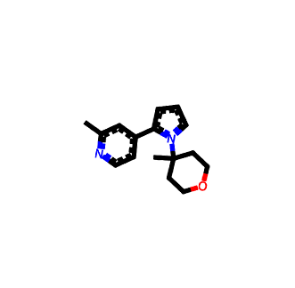 Cc1cc(-c2cccn2C2(C)CCOCC2)ccn1